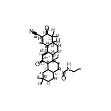 CCNC(=O)[C@H]1C[C@]2(C)C(C(=O)C=C3[C@@]4(C)C=C(C#N)C(=O)C(C)(C)[C@@H]4CC[C@]32C)C2CC(C)(C)CCC21